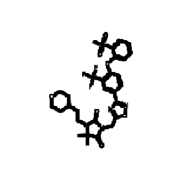 CC1(C)C(=O)N(Cc2nc(-c3ccc(Oc4ccccc4S(C)(=O)=O)c(C(F)(F)F)c3)no2)C(=O)N1CCN1CCOCC1